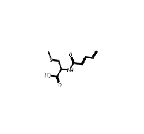 C=CC=CC(=O)NC(CSC)C(=O)O